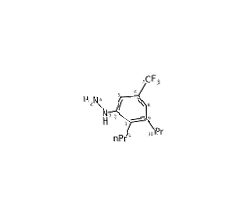 CCCc1c(NN)cc(C(F)(F)F)cc1C(C)C